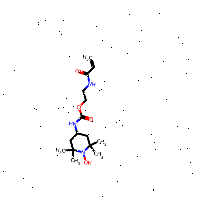 C=CC(=O)NCCOC(=O)NC1CC(C)(C)N(O)C(C)(C)C1